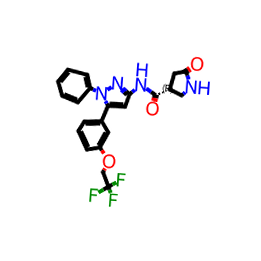 O=C1C[C@@H](C(=O)Nc2cc(-c3cccc(OCC(F)(F)F)c3)n(-c3ccccc3)n2)CN1